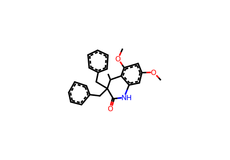 COc1cc2c(c(OC)c1)C(C)C(Cc1ccccc1)(Cc1ccccc1)C(=O)N2